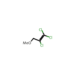 COCC(Cl)=C(Cl)Cl